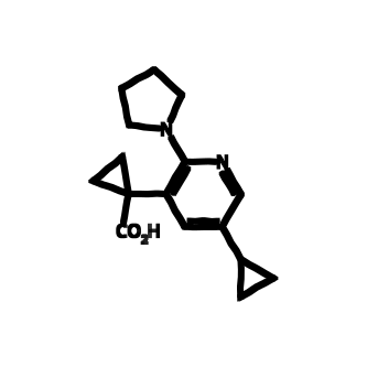 O=C(O)C1(c2cc(C3CC3)cnc2N2CCCC2)CC1